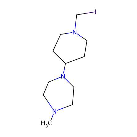 CN1CCN(C2CCN(CI)CC2)CC1